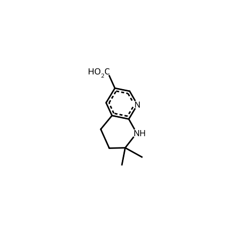 CC1(C)CCc2cc(C(=O)O)cnc2N1